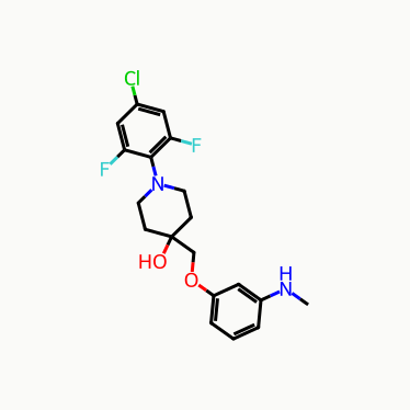 CNc1cccc(OCC2(O)CCN(c3c(F)cc(Cl)cc3F)CC2)c1